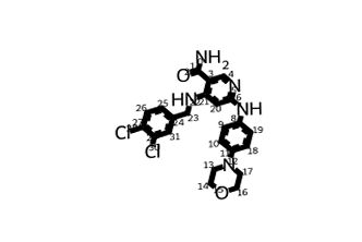 NC(=O)c1cnc(Nc2ccc(N3CCOCC3)cc2)cc1NCc1ccc(Cl)c(Cl)c1